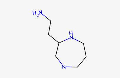 NCCC1C[N]CCCN1